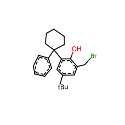 CC(C)(C)c1cc(CBr)c(O)c(C2(c3ccccc3)CCCCC2)c1